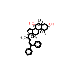 CC[C@H]1[C@@H](O)C2C3CC[C@H]([C@H](C)CC=C(c4ccccc4)c4ccccc4)[C@@]3(C)CCC2[C@@]2(C)CC[C@@H](O)C[C@@H]12